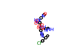 O=C(NS(=O)(=O)c1ccc(NC2CCC(N3CCOCC3)CC2)c([N+](=O)[O-])c1)c1ccc(N2CCN(CC3=C(c4ccc(Cl)cc4)CCC4(CCCC4)C3)CC2)cc1Oc1cnc2[nH]ccc2c1